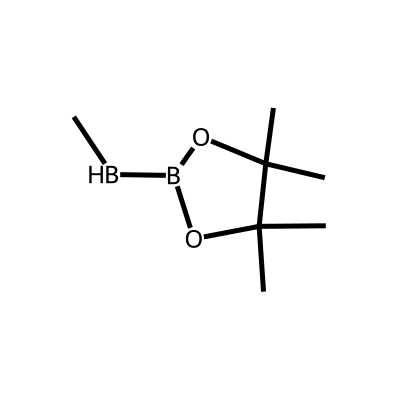 CBB1OC(C)(C)C(C)(C)O1